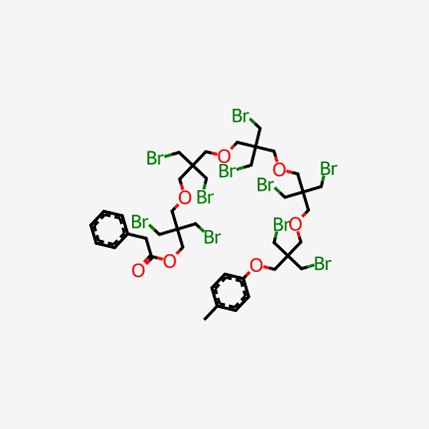 Cc1ccc(OCC(CBr)(CBr)COCC(CBr)(CBr)COCC(CBr)(CBr)COCC(CBr)(CBr)COCC(CBr)(CBr)COC(=O)Cc2ccccc2)cc1